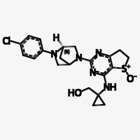 [O-][S+]1CCc2nc(N3C[C@H]4CC3CN4c3ccc(Cl)cc3)nc(NC3(CO)CC3)c21